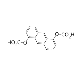 O=C(O)Oc1cccc2cc3c(OC(=O)O)cccc3cc12